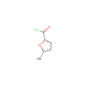 O=Nc1ccc(C(=O)Cl)o1